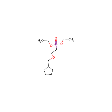 CCOP(=O)(CCOCC1CCCC1)OCC